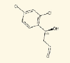 O=CC[C@H](O)c1ccc(Cl)cc1Cl